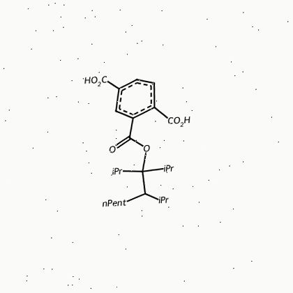 CCCCCC(C(C)C)C(OC(=O)c1cc(C(=O)O)ccc1C(=O)O)(C(C)C)C(C)C